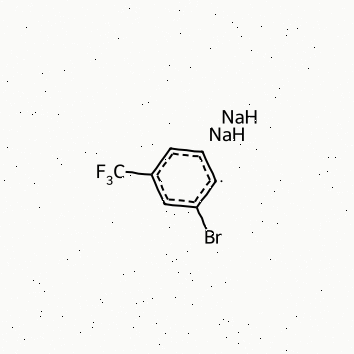 FC(F)(F)c1cc[c]c(Br)c1.[NaH].[NaH]